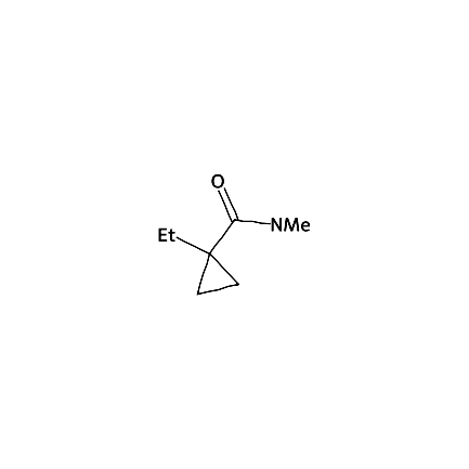 CCC1(C(=O)NC)CC1